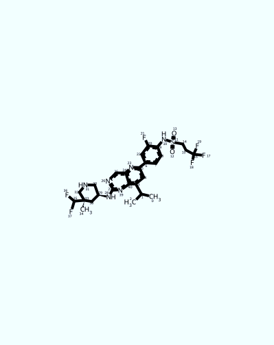 CC(C)c1cc(-c2ccc(NS(=O)(=O)CCC(F)(F)F)c(F)c2)nc2cnc(N[C@@H]3CNC[C@](C)(C(F)F)C3)nc12